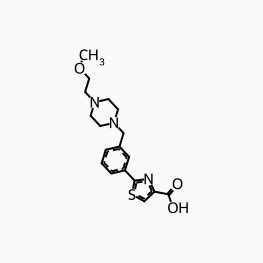 COCCN1CCN(Cc2cccc(-c3nc(C(=O)O)cs3)c2)CC1